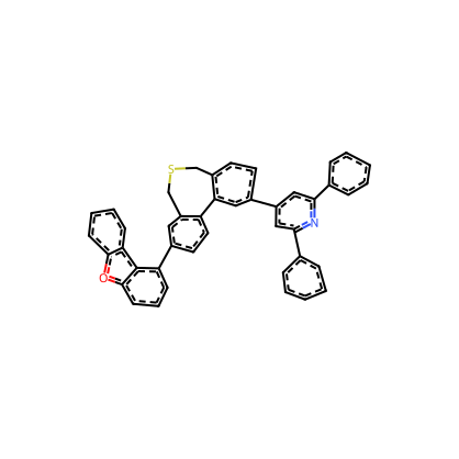 c1ccc(-c2cc(-c3ccc4c(c3)-c3ccc(-c5cccc6oc7ccccc7c56)cc3CSC4)cc(-c3ccccc3)n2)cc1